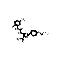 NC(=O)c1nc(-c2ccc(OCC(=O)O)cc2)[nH]c1NC(=O)Nc1cc(C(F)(F)F)ccc1F